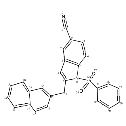 N#Cc1ccc2c(c1)cc(Cc1ccc3ccccc3c1)n2S(=O)(=O)c1ccccc1